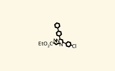 CCOC(=O)c1cc2nc(-c3ccc(Cl)cc3)cc(-c3ccc(-c4ccccc4)cc3)n2n1